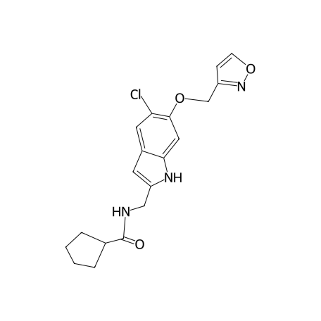 O=C(NCc1cc2cc(Cl)c(OCc3ccon3)cc2[nH]1)C1CCCC1